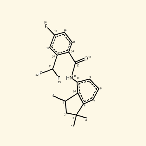 CC1CC(C)(C)c2cccc(NC(=O)c3ccc(F)cc3C(F)F)c21